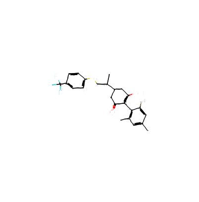 Cc1cc(C)c(C2=C(O)CC(C(C)CSc3ccc(C(F)(F)F)cc3)CC2=O)c(Br)c1